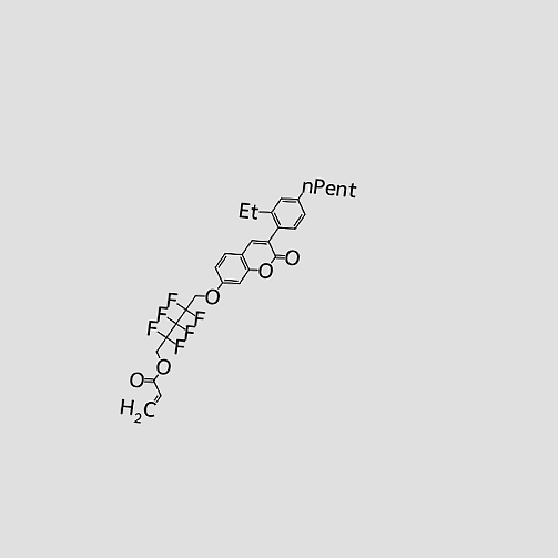 C=CC(=O)OCC(F)(F)C(F)(F)C(F)(F)COc1ccc2cc(-c3ccc(CCCCC)cc3CC)c(=O)oc2c1